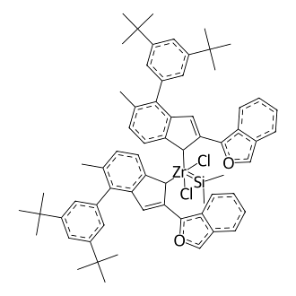 Cc1ccc2c(c1-c1cc(C(C)(C)C)cc(C(C)(C)C)c1)C=C(c1occ3ccccc13)[CH]2[Zr]([Cl])([Cl])([CH]1C(c2occ3ccccc23)=Cc2c1ccc(C)c2-c1cc(C(C)(C)C)cc(C(C)(C)C)c1)=[Si](C)C